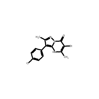 CCc1c(C)[nH]c2c(-c3ccc(Cl)cc3)c(C)nn2c1=O